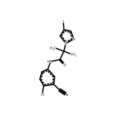 CC(C)(C(=O)Nc1ccc(Cl)c(C#N)c1)n1cc(I)cn1